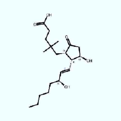 CCCCC[C@H](O)/C=C/[C@H]1[C@H](O)CC(=O)[C@@H]1CC(C)(C)CCC(=O)O